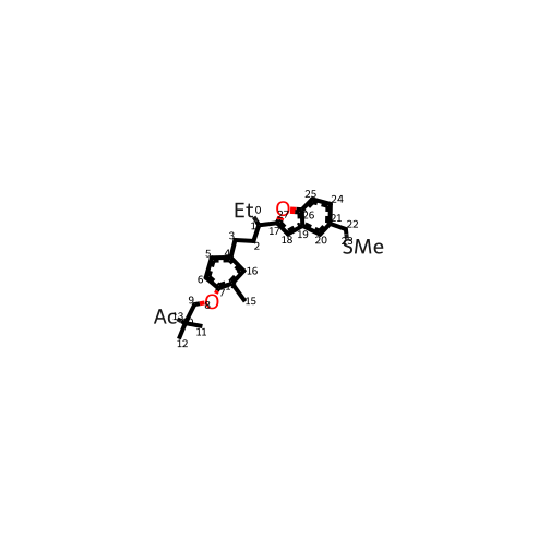 CCC(CCc1ccc(OCC(C)(C)C(C)=O)c(C)c1)c1cc2cc(CSC)ccc2o1